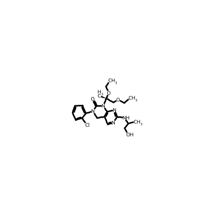 CCOC[C@@](C)(OCC)N1C(=O)N(c2ccccc2Cl)Cc2cnc(NC(C)CO)nc21